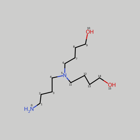 NCCCCN(CCCCO)CCCCO